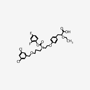 CCOC(Cc1ccc(OCCN(CCCOCc2cc(Cl)cc(Cl)c2)C(=O)Oc2ccc(F)cc2F)cc1)C(=O)O